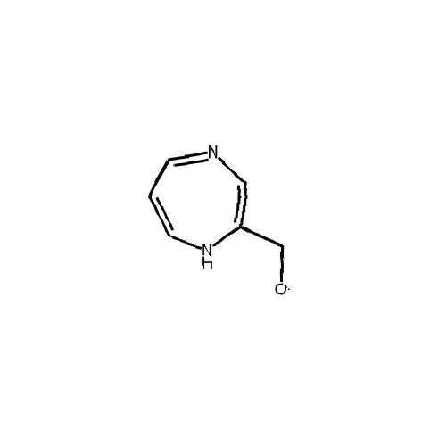 [O]CC1=CN=CC=CN1